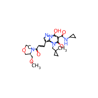 COC[C@H]1COCCN1C(=O)/C=C/c1cnn2c(O)c(C(=O)NC3CC3)c(=O)n(CC3(C)CC3)c12